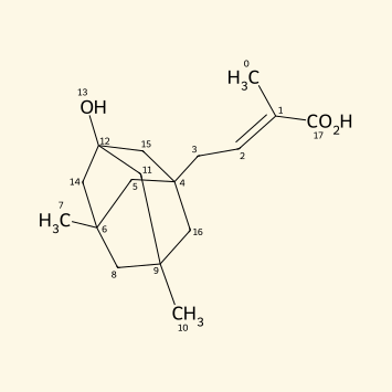 CC(=CCC12CC3(C)CC(C)(CC(O)(C3)C1)C2)C(=O)O